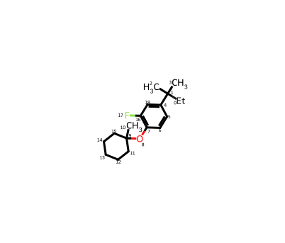 CCC(C)(C)c1ccc(OC2(C)CCCCC2)c(F)c1